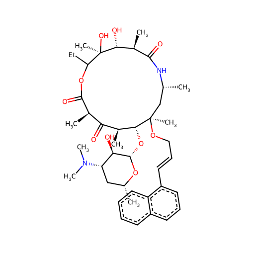 CCC1OC(=O)[C@H](C)C(=O)[C@H](C)[C@@H](O[C@@H]2O[C@H](C)C[C@H](N(C)C)[C@H]2O)[C@](C)(OC/C=C/c2cccc3ccccc23)C[C@@H](C)NC(=O)[C@H](C)[C@@H](O)[C@]1(C)O